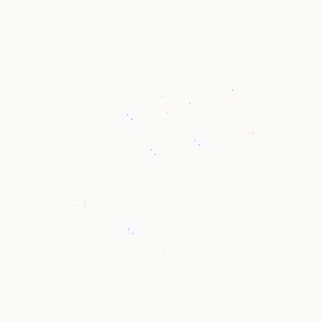 CN(C(=O)c1ccc(Cl)c(-c2cnc(C(F)(F)F)cc2C#N)c1)c1ccccc1OCC(N)C(=O)O